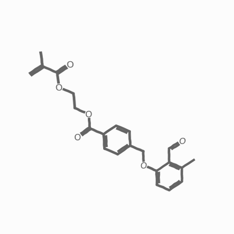 C=C(C)C(=O)OCCOC(=O)c1ccc(COc2cccc(C)c2C=O)cc1